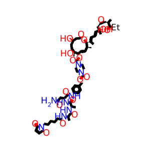 CCC(O)C(C)[C@H]1O[C@@H]1CC(C)(O)/C=C/C=C(\C)[C@H]1OC(=O)C[C@H](O)CC[C@@](C)(O)[C@@H](OC(=O)N2CCN(C(=O)OCc3ccc(NC(=O)C(CC(N)=O)NC(=O)C(C)NC(=O)C(C)NC(=O)CCCCCN4C(=O)C=CC4=O)cc3)CC2)/C=C/[C@@H]1C